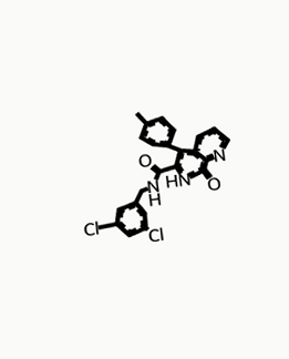 Cc1ccc(-c2c(C(=O)NCc3cc(Cl)cc(Cl)c3)[nH]c(=O)c3ncccc23)cc1